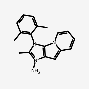 Cc1cccc(C)c1-n1c(C)[n+](N)c2cc3ccccn3c21